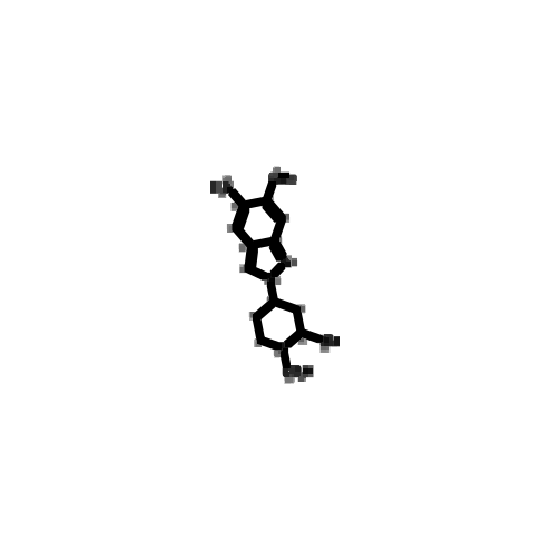 COc1cc2nn(C3CCN(C(=O)O)C(C(C)(C)C)C3)cc2cc1N